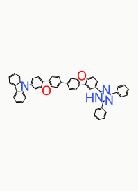 c1ccc(C2=NC(c3ccc4oc5cc(-c6ccc7c(c6)oc6cc(-n8c9ccccc9c9ccccc98)ccc67)ccc5c4c3)NC(c3ccccc3)=N2)cc1